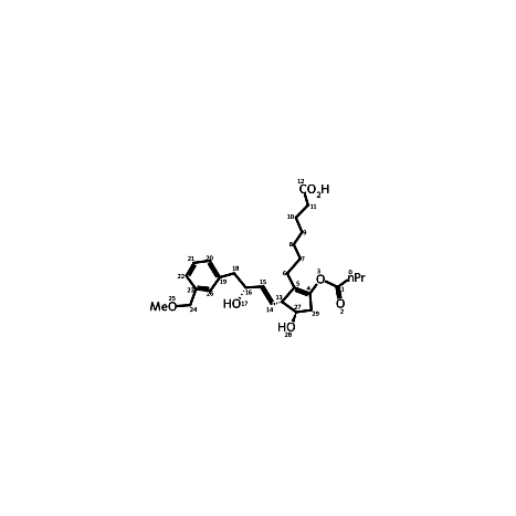 CCCC(=O)OC1=C(CCCCCCC(=O)O)[C@@H](/C=C/[C@H](O)Cc2cccc(COC)c2)[C@H](O)C1